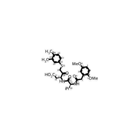 COc1ccc(OC)c(CC(=O)N[C@H](C(=O)N[C@@H](CC(=O)O)C(=O)CSc2ccc(C)c(C)c2)C(C)C)c1